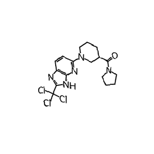 O=C([C@@H]1CCCN(c2ccc3nc(C(Cl)(Cl)Cl)[nH]c3n2)C1)N1CCCC1